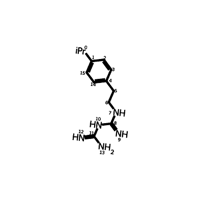 CC(C)c1ccc(CCNC(=N)NC(=N)N)cc1